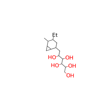 CCC1CC(CC(O)C(O)C(O)C(O)CO)C2CC2C1C